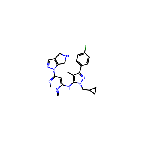 C=N/C(=C\C(=N/C)n1ncc2c1CNC2)Nc1c(C)c(-c2ccc(F)cc2)nn1CC1CC1